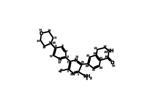 Nc1nc(F)c(-c2ccc(N3CCOCC3)cn2)nc1-c1ccc2c(c1)CCNC2=O